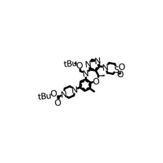 Cc1cc(N2CCN(C(=O)OC(C)(C)C)CC2)cc2c1O[C@H](C)c1c(N3CCS(=O)(=O)CC3)ncnc1N2COC(C)(C)C